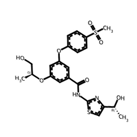 C[C@@H](CO)Oc1cc(Oc2ccc(S(C)(=O)=O)cc2)cc(C(=O)Nc2nc([C@@H](C)O)cs2)c1